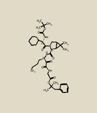 CCCC[C@@H](NC(=O)[C@@H]1C2C(CN1C(=O)[C@@H](NC(=O)OC(C)(C)C)C1CCCCC1)C2(C)C)C(=O)C(=O)NCC(=O)OC(C)(C)Cc1ccccc1